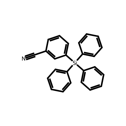 N#Cc1cccc([Si](c2ccccc2)(c2ccccc2)c2ccccc2)c1